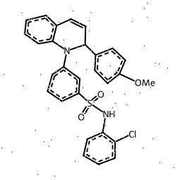 COc1ccc(C2C=Cc3ccccc3N2c2cccc(S(=O)(=O)Nc3ccccc3Cl)c2)cc1